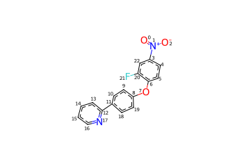 O=[N+]([O-])c1ccc(Oc2ccc(-c3ccccn3)cc2)c(F)c1